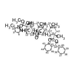 COC(=O)[C@]1(C)[C@@H](n2ccc(C)n2)CC[C@@]2(C)[C@H]1CC[C@]1(C)[C@@H]2C(=O)C=C2[C@@H]3C[C@@](C)(C(=O)OC(c4ccccc4)c4ccccc4)CC[C@]3(C)CC[C@]21C